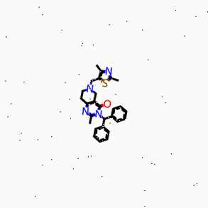 Cc1nc(C)c(CN2CCc3nc(C)n(C(c4ccccc4)c4ccccc4)c(=O)c3C2)s1